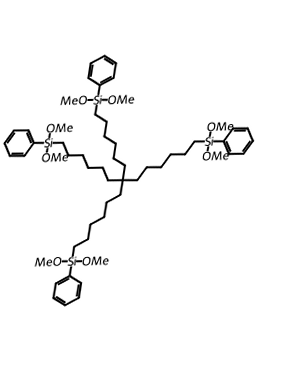 CO[Si](CCCCCCC(CCCCCC[Si](OC)(OC)c1ccccc1)(CCCCCC[Si](OC)(OC)c1ccccc1)CCCCCC[Si](OC)(OC)c1ccccc1)(OC)c1ccccc1